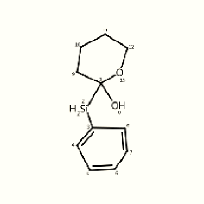 OC1([SiH2]c2ccccc2)CCCCO1